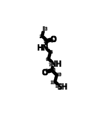 O=C(CI)NCCNC(=O)CCS